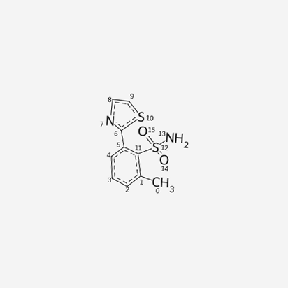 Cc1cccc(-c2nccs2)c1S(N)(=O)=O